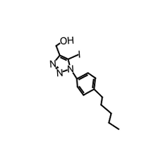 CCCCCc1ccc(-n2nnc(CO)c2I)cc1